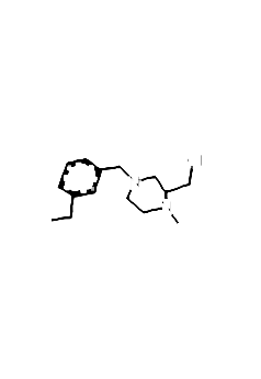 CCc1cccc(CN2CCN(C)C(CO)C2)c1